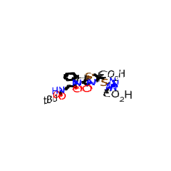 CC(C)(C)OC(=O)NCCC(=O)N(C1=CCC=CC1)C1C(=O)N2CC(CSc3nnnn3CC(=O)O)(C(=O)O)CS[C@H]12